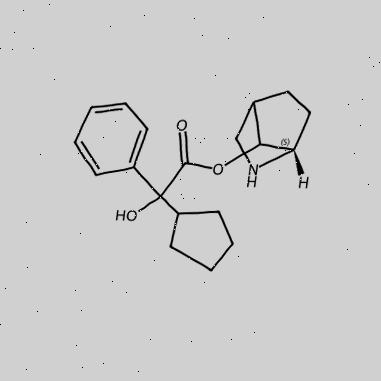 O=C(OC1C2CC[C@@H]1NC2)C(O)(c1ccccc1)C1CCCC1